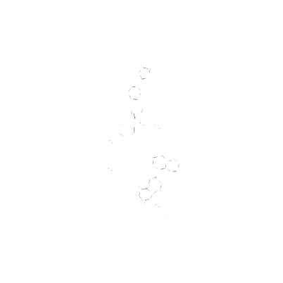 Cc1ncsc1-c1ccc(C(C)NC(=O)[C@@H]2C[C@@H](O)CN2C(=O)C(NC(=O)CN2CCC(CN3CCN(CC(C)Oc4nc(N5CCNCC5)c5cc(Cl)c(-c6cc(O)cc7ccccc67)c(F)c5n4)CC3)CC2)C(C)(C)C)cc1